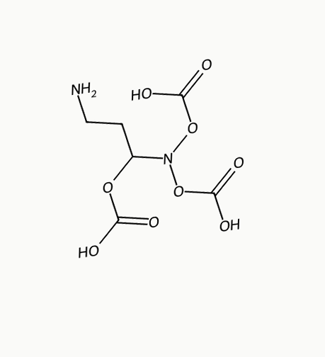 NCCC(OC(=O)O)N(OC(=O)O)OC(=O)O